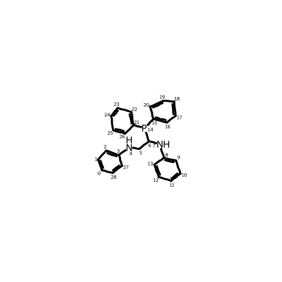 c1ccc(NCC(Nc2ccccc2)P(c2ccccc2)c2ccccc2)cc1